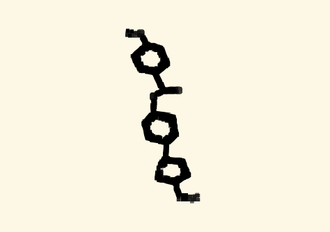 CCCCCCCc1ccc(-c2ccc(OC(=O)c3ccc(OC)cc3)cc2)cc1